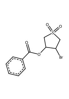 O=C(OC1CS(=O)(=O)CC1Br)c1ccccc1